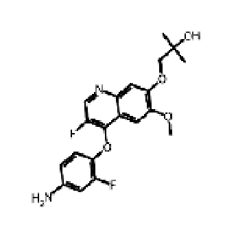 COc1cc2c(Oc3ccc(N)cc3F)c(F)cnc2cc1OCC(C)(C)O